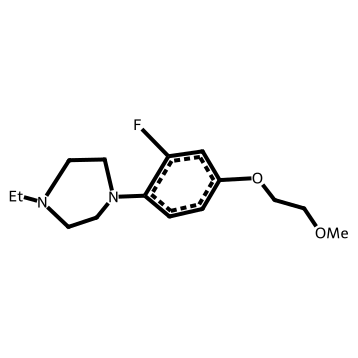 CCN1CCN(c2ccc(OCCOC)cc2F)CC1